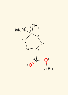 CNC1(C)CCC(C(=O)OC(C)(C)C)CC1